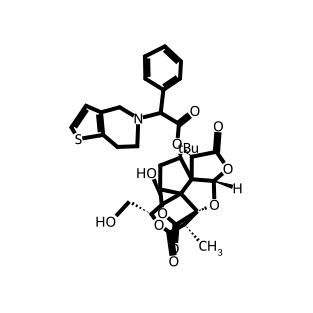 C[C@@H]1C(=O)O[C@H](CO)[C@@H](O)C23C4C[C@@H](C(C)(C)C)C25[C@H](OC(=O)[C@H]5OC(=O)C(c2ccccc2)N2CCc5sccc5C2)O[C@@]13C(=O)O4